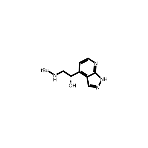 CC(C)(C)NC[C@@H](O)c1ccnc2[nH]ncc12